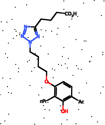 CCCc1c(OCCCCn2nnc(CCCC(=O)O)n2)ccc(C(C)=O)c1O